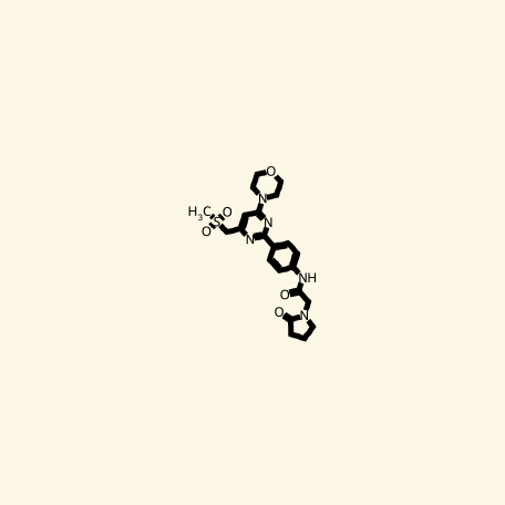 CS(=O)(=O)Cc1cc(N2CCOCC2)nc(-c2ccc(NC(=O)CN3CCCC3=O)cc2)n1